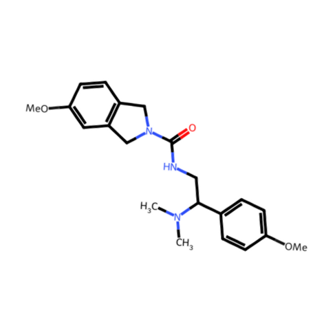 COc1ccc(C(CNC(=O)N2Cc3ccc(OC)cc3C2)N(C)C)cc1